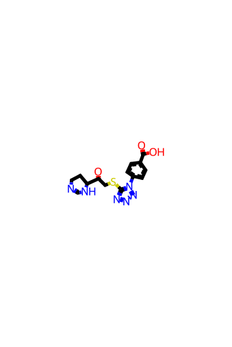 O=C(O)c1ccc(-n2nnnc2SCC(=O)C2CCN=CN2)cc1